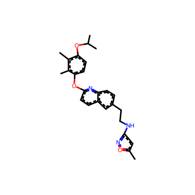 Cc1cc(NCCc2ccc3nc(Oc4ccc(OC(C)C)c(C)c4C)ccc3c2)no1